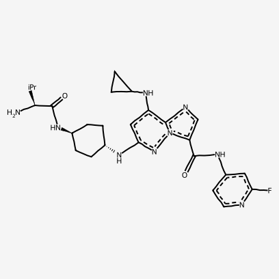 CC(C)[C@H](N)C(=O)N[C@H]1CC[C@H](Nc2cc(NC3CC3)c3ncc(C(=O)Nc4ccnc(F)c4)n3n2)CC1